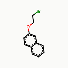 BrCCOc1ccc2c[c]ccc2c1